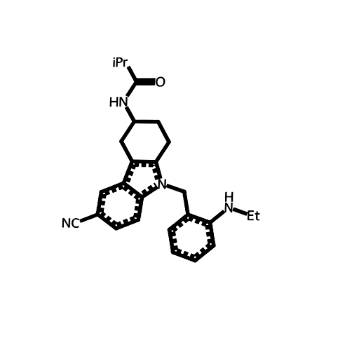 CCNc1ccccc1Cn1c2c(c3cc(C#N)ccc31)CC(NC(=O)C(C)C)CC2